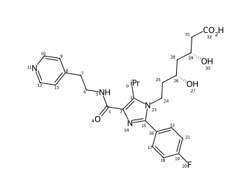 CC(C)c1c(C(=O)NCCc2ccncc2)nc(-c2ccc(F)cc2)n1CC[C@@H](O)C[C@@H](O)CC(=O)O